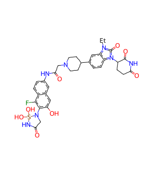 CCn1c(=O)n(C2CCC(=O)NC2=O)c2ccc(C3CCN(CC(=O)Nc4ccc5c(F)c(N6CC(=O)NS6(O)O)c(O)cc5c4)CC3)cc21